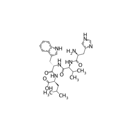 CC(C)C[C@H](NC(=O)[C@H](Cc1c[nH]c2ccccc12)NC(=O)[C@@H](NC(=O)[C@@H](N)Cc1c[nH]cn1)C(C)C)C(=O)O